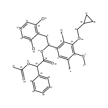 COc1c(F)cc(C(Cc2c(Cl)cncc2Cl)OC(=O)C(OC(C)=O)c2ccccc2)c(F)c1OCC1CC1